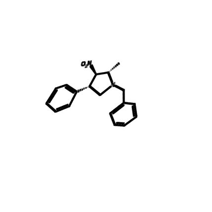 C[C@H]1[C@H]([N+](=O)[O-])[C@@H](c2ccccc2)CN1Cc1ccccc1